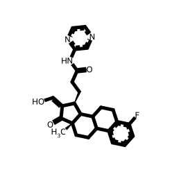 C[C@]12CCC3c4cccc(F)c4CCC3C1[C@H](CCC(=O)Nc1cnccn1)/C(=C/O)C2=O